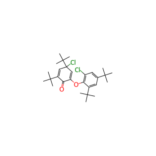 CC(C)(C)C1=CC(Cl)(C(C)(C)C)C=C(Oc2c(Cl)cc(C(C)(C)C)cc2C(C)(C)C)C1=O